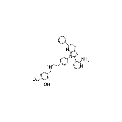 CN(CCc1ccc(-n2c(-c3cccnc3N)nc3ccc(-c4ccccc4)nc32)cc1)Cc1ccc(C=O)c(O)c1